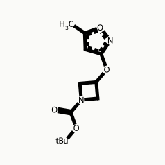 Cc1cc(OC2CN(C(=O)OC(C)(C)C)C2)no1